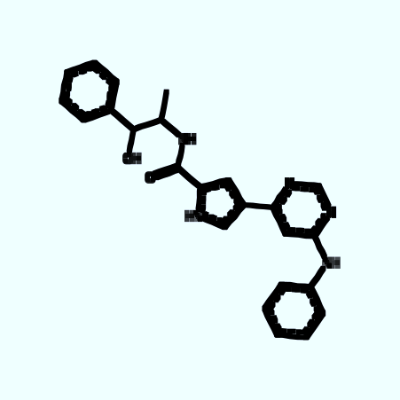 CC(NC(=O)c1cc(-c2cc(Nc3ccccc3)ncn2)c[nH]1)C(O)c1ccccc1